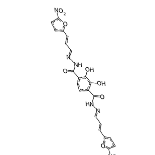 O=C(NN=CC=Cc1ccc([N+](=O)[O-])o1)c1ccc(C(=O)NN=CC=Cc2ccc([N+](=O)[O-])o2)c(O)c1O